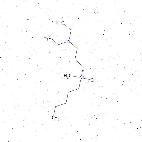 CCCCC[N+](C)(C)CCCN(CC)CC